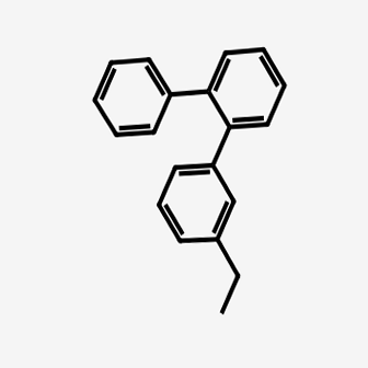 CCc1cccc(-c2ccccc2-c2ccccc2)c1